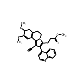 COC(=O)CCc1c(-c2ccnc3ccccc23)c(C#N)c2n1CCC1=C2C=C(OC)C(OC)C1